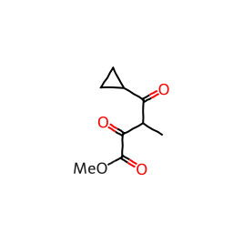 COC(=O)C(=O)C(C)C(=O)C1CC1